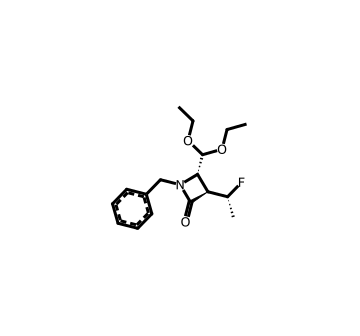 CCOC(OCC)[C@@H]1[C@@H]([C@@H](C)F)C(=O)N1Cc1ccccc1